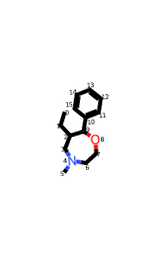 CCC1CN(C)CCOC1c1ccccc1